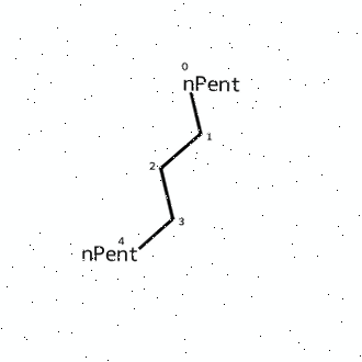 CC[CH]CCCCCCCCCC